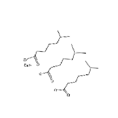 CC(C)CCCCC(=O)[O-].CC(C)CCCCC(=O)[O-].CC(C)CCCCC(=O)[O-].[Ga+3]